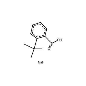 CC(C)(C)c1ccccc1S(=O)O.[NaH]